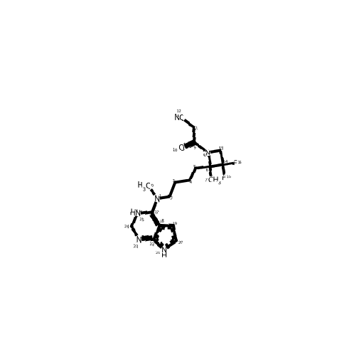 CN(CCCCC1(C)N(C(=O)CC#N)CC1(F)F)C1=c2cc[nH]c2=NCN1